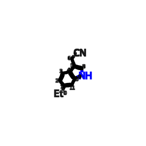 CCc1ccc2c(CC#N)c[nH]c2c1